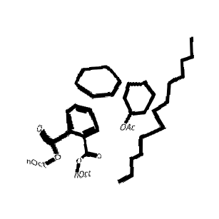 C1CCCCC1.CC(=O)OC1CCCCC1.CCCCCCCCCCCCC.CCCCCCCCOC(=O)c1ccccc1C(=O)OCCCCCCCC